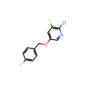 Fc1ccc(COc2cnc(Cl)c(F)c2)cc1